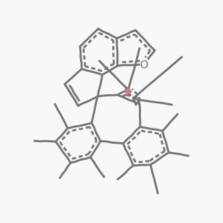 Cc1c(C)c(C)c2c(c1C)-c1c(C)c(C)c(C)c(C)c1C1(C=Cc3ccc4ccoc4c31)c1c(C)c(C)c(C)c(C)c1-2